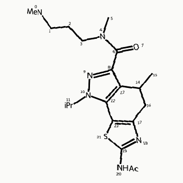 CNCCCN(C)C(=O)c1nn(C(C)C)c2c1C(C)Cc1nc(NC(C)=O)sc1-2